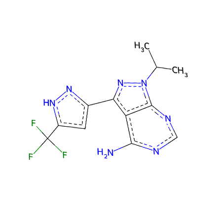 CC(C)n1nc(-c2cc(C(F)(F)F)[nH]n2)c2c(N)ncnc21